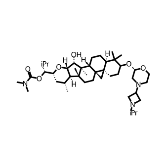 CC(C)[C@@H](OC(=O)N(C)C)[C@H]1C[C@@H](C)[C@H]2[C@H](O1)[C@H](O)[C@@]1(C)[C@@H]3CC[C@H]4C(C)(C)C(O[C@H]5CN(C6CN(C(C)C)C6)CCO5)CC[C@@]45C[C@@]35CC[C@]21C